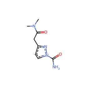 CN(C)C(=O)Cc1[c]cn(C(N)=O)n1